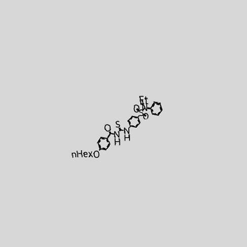 CCCCCCOc1ccc(C(=O)NC(=S)Nc2ccc(S(=O)(=O)N(CC)c3ccccc3)cc2)cc1